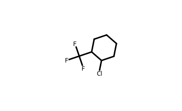 FC(F)(F)C1CCCCC1Cl